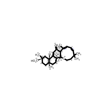 C/C1=C/C=C\C(C)(C)CCC[C@@]2(C)[C@H]1C(=O)C=C1[C@H]3C[C@](C)(C(=O)O)CC[C@@]3(C)CC[C@@]12C